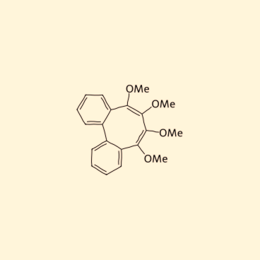 COC1=C(OC)c2ccccc2-c2ccccc2C(OC)=C1OC